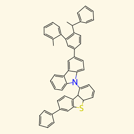 Cc1ccccc1-c1cc(-c2ccc3c(c2)c2ccccc2n3C2=CC=CC3Sc4cc(-c5ccccc5)ccc4C23)ccc1C(C)c1ccccc1